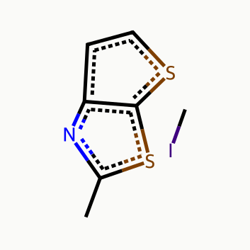 CI.Cc1nc2ccsc2s1